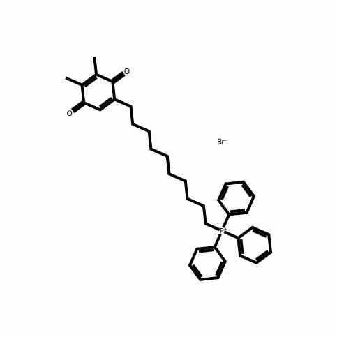 CC1=C(C)C(=O)C(CCCCCCCCCC[P+](c2ccccc2)(c2ccccc2)c2ccccc2)=CC1=O.[Br-]